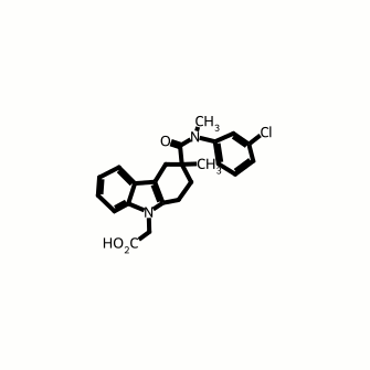 CN(C(=O)C1(C)CCc2c(c3ccccc3n2CC(=O)O)C1)c1cccc(Cl)c1